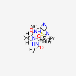 CC(C)[Si](c1nc2cncc(C(C#N)NC(=O)[C@@H]3[C@@H]4[C@H](CN3C(=O)[C@@H](NC(=O)C(F)(F)F)C(C)(C)C)C4(C)C)c2s1)(C(C)C)C(C)C